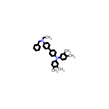 CCN(Cc1ccccc1)c1ccc(-c2ccc(N(c3ccc(C)c(C)c3)c3ccc(C)c(C)c3)cc2)cc1